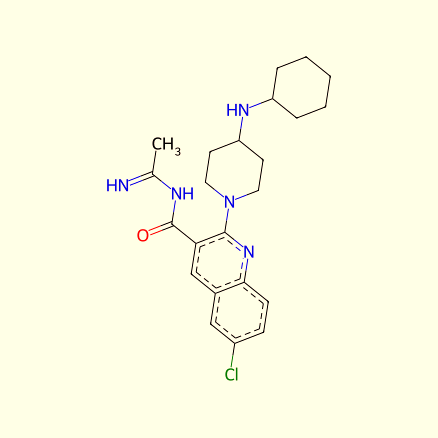 CC(=N)NC(=O)c1cc2cc(Cl)ccc2nc1N1CCC(NC2CCCCC2)CC1